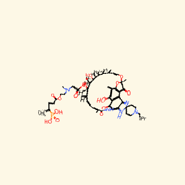 C/C1=C/C=C/[C@H](C)[C@H](OC(=O)CN(C)CCOC(=O)CCC(C=O)P(=O)(O)O)[C@@H](C)[C@@H](O)[C@@H](C)[C@H](C)[C@H](C)[C@@H](C)/C=C/O[C@@]2(C)Oc3c(C)c(O)c4c(c3C2=O)C2=NC3(CCN(CC(C)C)CC3)NC2=C(NC1=O)C4=O